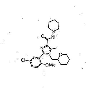 COc1ccc(Cl)cc1-c1nc(C(=O)NN2CCCCC2)c(C)n1CC1CCCCO1